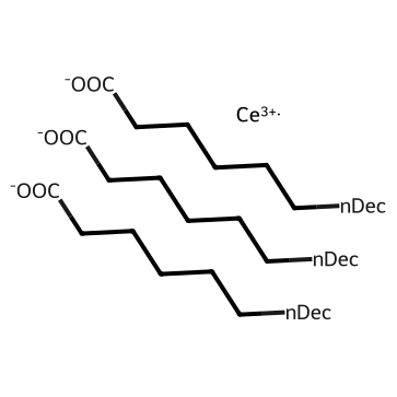 CCCCCCCCCCCCCCCC(=O)[O-].CCCCCCCCCCCCCCCC(=O)[O-].CCCCCCCCCCCCCCCC(=O)[O-].[Ce+3]